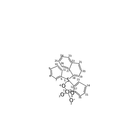 [O-][Cl+3]([O-])([O-])OS(c1ccccc1)(c1ccccc1)c1cccc2ccccc12